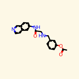 CC(=O)Oc1cccc(CNCC(=O)Nc2ccc3cnccc3c2)c1